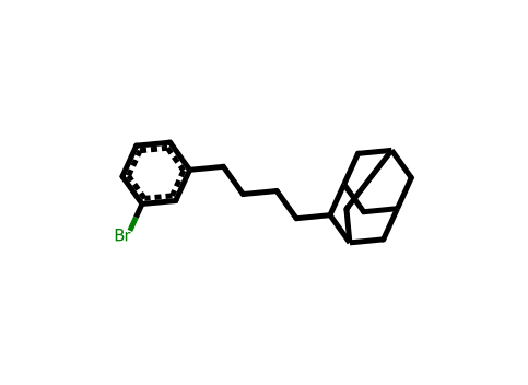 Brc1cccc(CCCCC2C3CC4CC(C3)CC2C4)c1